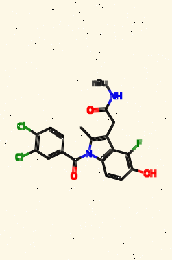 CCCCNC(=O)Cc1c(C)n(C(=O)c2ccc(Cl)c(Cl)c2)c2ccc(O)c(F)c12